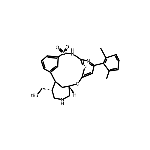 Cc1cccc(C)c1-c1cc2nc(n1)NS(=O)(=O)c1cccc(c1)C1C[C@@H](CNC[C@@H]1CC(C)(C)C)O2